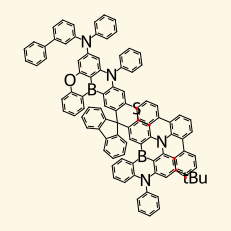 CC(C)(C)c1cc2c3c(c1)N(c1c(-c4ccccc4)cccc1-c1ccccc1)c1cc4c(cc1B3c1ccccc1N2c1ccccc1)C1(c2cc3c(cc2S4)N(c2ccccc2)c2cc(N(c4ccccc4)c4cccc(-c5ccccc5)c4)cc4c2B3c2ccccc2O4)c2ccccc2-c2ccccc21